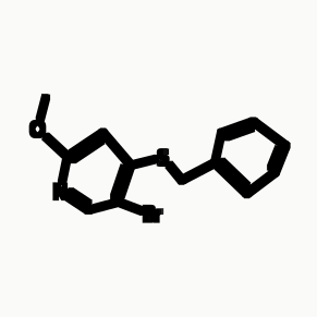 COc1cc(SCc2ccccc2)c(Br)cn1